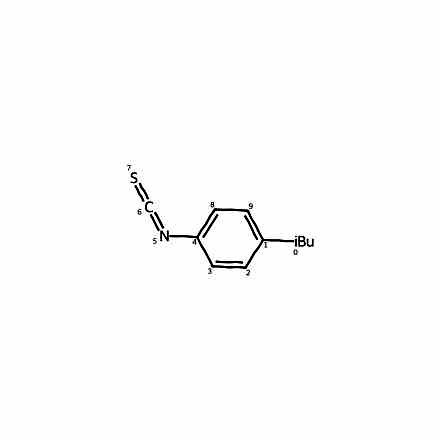 CCC(C)c1ccc(N=C=S)cc1